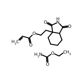 C=CC(=O)OCCC12CCCCC1C(=O)NC2=O.CCOC(N)=O